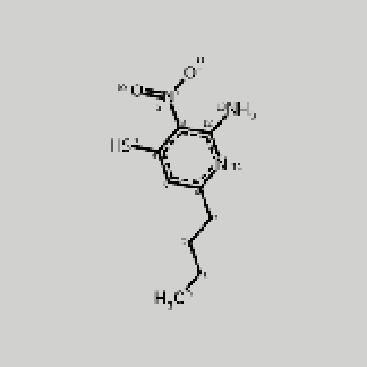 CCCCc1cc(S)c([N+](=O)[O-])c(N)n1